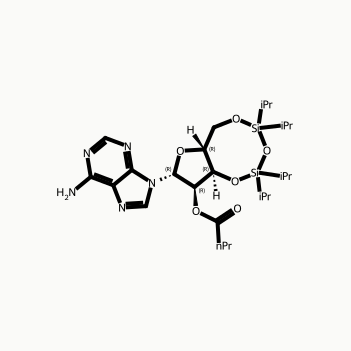 CCCC(=O)O[C@@H]1[C@@H]2O[Si](C(C)C)(C(C)C)O[Si](C(C)C)(C(C)C)OC[C@H]2O[C@H]1n1cnc2c(N)ncnc21